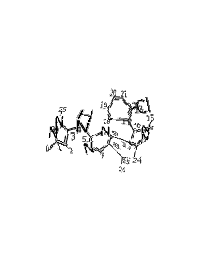 Cc1cc(Nc2ncc3c(n2)-c2c(nn(C)c2-c2ccccc2Cl)CC3C)n(C)n1